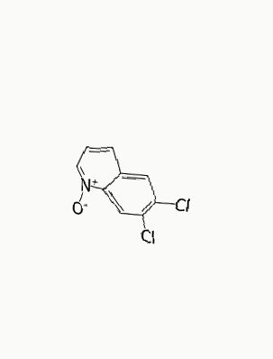 [O-][n+]1cccc2cc(Cl)c(Cl)cc21